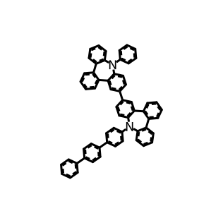 c1ccc(-c2ccc(-c3ccc(N4c5ccccc5-c5ccccc5-c5cc(-c6ccc7c(c6)-c6ccccc6-c6ccccc6N7c6ccccc6)ccc54)cc3)cc2)cc1